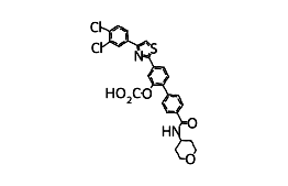 O=C(O)Oc1cc(-c2nc(-c3ccc(Cl)c(Cl)c3)cs2)ccc1-c1ccc(C(=O)NC2CCOCC2)cc1